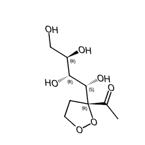 CC(=O)[C@]1([C@@H](O)[C@H](O)[C@H](O)CO)CCOO1